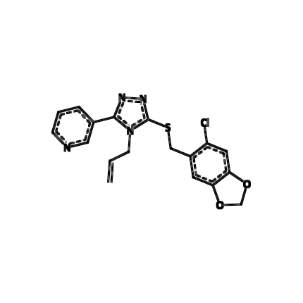 C=CCn1c(SCc2cc3c(cc2Cl)OCO3)nnc1-c1cccnc1